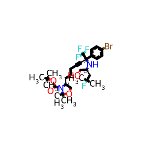 CC(C)(F)C[C@@H](CO)N[C@@](C#CCCC[C@H]1COC(C)(C)N1C(=O)OC(C)(C)C)(c1ccc(Br)cc1)C(F)(F)F